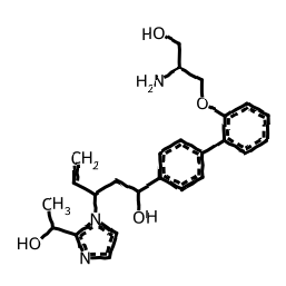 C=CC(CC(O)c1ccc(-c2ccccc2OCC(N)CO)cc1)n1ccnc1C(C)O